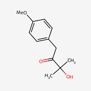 COc1ccc(CC(=O)C(C)(C)O)cc1